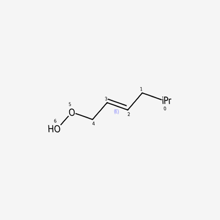 CC(C)C/C=C/COO